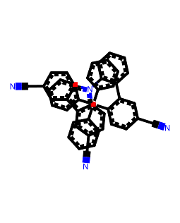 N#Cc1ccc([Si](c2ccccc2)(c2ccccc2)c2ccccc2)c(-c2ccccc2-n2c3ccc(C#N)cc3c3cc(C#N)ccc32)c1